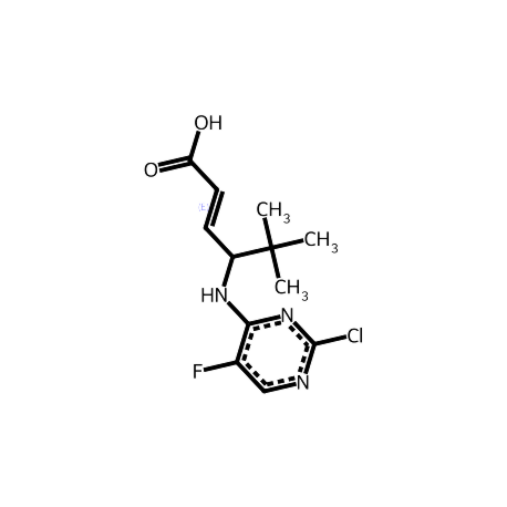 CC(C)(C)C(/C=C/C(=O)O)Nc1nc(Cl)ncc1F